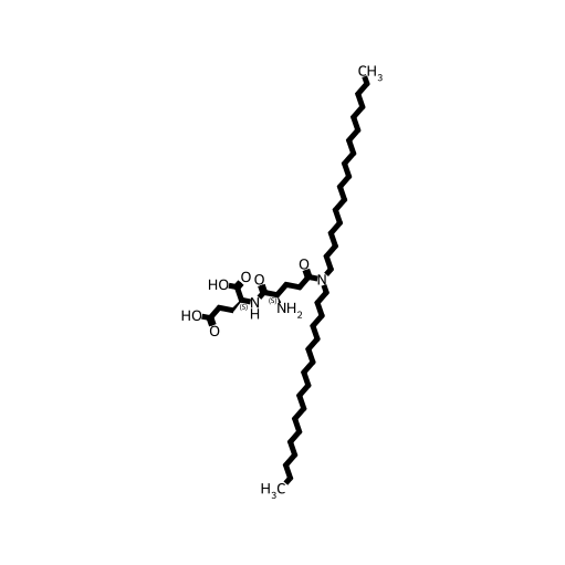 CCCCCCCCCCCCCCCCCCN(CCCCCCCCCCCCCCCCCC)C(=O)CC[C@H](N)C(=O)N[C@@H](CCC(=O)O)C(=O)O